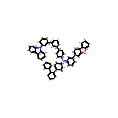 c1ccc(-c2ccccc2-c2ccc(N(c3ccc(-c4cccc(-c5cccc(-n6c7ccccc7c7ccccc76)c5)c4)cc3)c3cccc(-c4ccc5c(c4)oc4ccccc45)c3)cc2)cc1